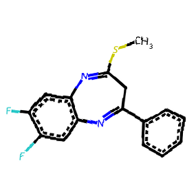 CSC1=Nc2cc(F)c(F)cc2N=C(c2ccccc2)C1